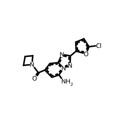 Nc1cc(C(=O)N2CCC2)cc2nc(-c3ccc(Cl)o3)nn12